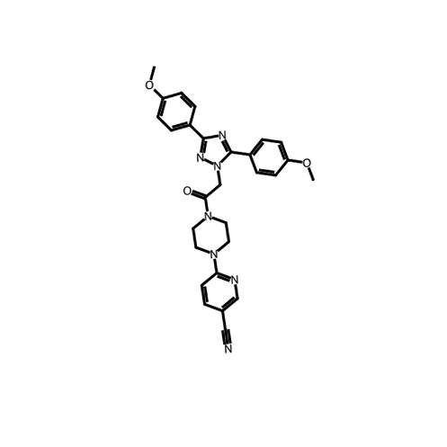 COc1ccc(-c2nc(-c3ccc(OC)cc3)n(CC(=O)N3CCN(c4ccc(C#N)cn4)CC3)n2)cc1